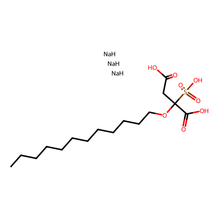 CCCCCCCCCCCCOC(CC(=O)O)(C(=O)O)S(=O)(=O)O.[NaH].[NaH].[NaH]